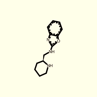 c1ccc2oc(NC[C@@H]3CCCCN3)nc2c1